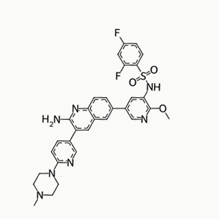 COc1ncc(-c2ccc3nc(N)c(-c4ccc(N5CCN(C)CC5)nc4)cc3c2)cc1NS(=O)(=O)c1ccc(F)cc1F